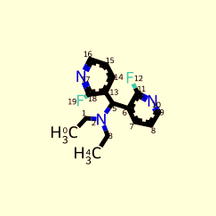 CCN(CC)C(c1cccnc1F)c1cccnc1F